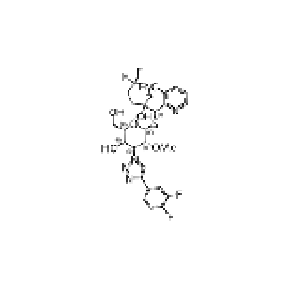 CO[C@@H]1[C@@H](n2cc(-c3ccc(F)c(F)c3)nn2)[C@@H](O)[C@@H](CO)O[C@H]1S[C@H](c1ncccc1C)C1(O)CCC(F)(F)CC1